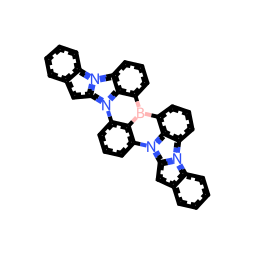 c1cc2c3c(c1)-n1c4c(cccc4n4c5ccccc5cc14)B3c1cccc3c1n-2c1cc2ccccc2n31